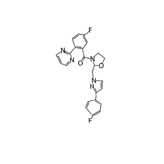 O=C(c1cc(F)ccc1-c1ncccn1)N1CCOC1Cn1ccc(-c2ccc(F)cc2)n1